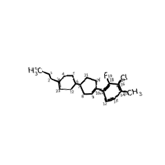 CCCC1CCC(C2CC=C(c3ccc(C)c(Cl)c3F)CC2)CC1